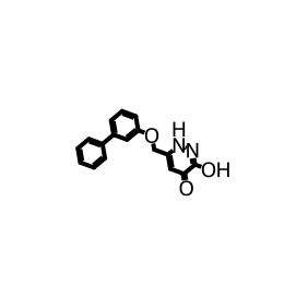 O=c1cc(COc2cccc(-c3ccccc3)c2)[nH]nc1O